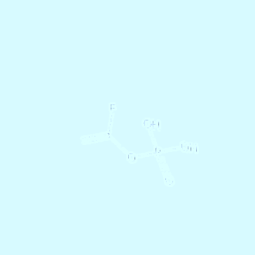 C=C(F)OP(=O)(O)O